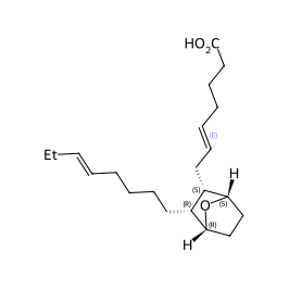 CCC=CCCCC[C@@H]1[C@H](C/C=C/CCCC(=O)O)[C@@H]2CC[C@H]1O2